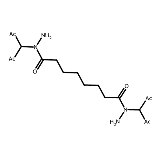 CC(=O)C(C(C)=O)N(N)C(=O)CCCCCCC(=O)N(N)C(C(C)=O)C(C)=O